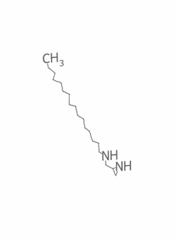 CCCCCCCCCCCCCCCCNCC1CN1